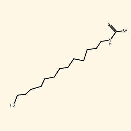 S=C(S)NCCCCCCCCCCCCCS